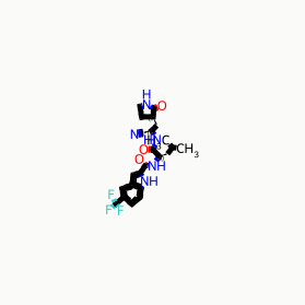 CC(C)C[C@H](NC(=O)c1cc2cc(C(F)(F)F)ccc2[nH]1)C(=O)N[C@H](C#N)C[C@@H]1CCNC1=O